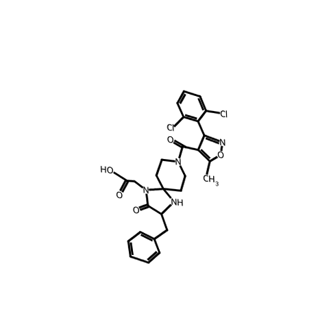 Cc1onc(-c2c(Cl)cccc2Cl)c1C(=O)N1CCC2(CC1)NC(Cc1ccccc1)C(=O)N2CC(=O)O